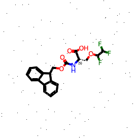 O=C(N[C@@H](COC(F)C(F)F)C(=O)O)OCC1c2ccccc2-c2ccccc21